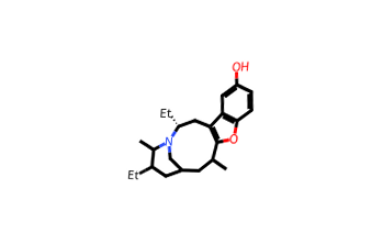 CCC1CC2CC(C)c3oc4ccc(O)cc4c3C[C@@H](CC)N(C2)C1C